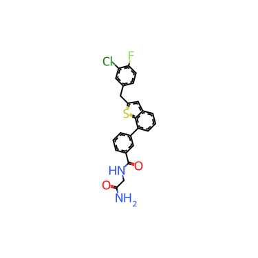 NC(=O)CNC(=O)c1cccc(-c2cccc3cc(Cc4ccc(F)c(Cl)c4)sc23)c1